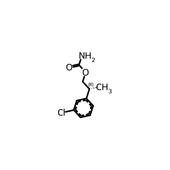 C[C@@H](COC(N)=O)c1cccc(Cl)c1